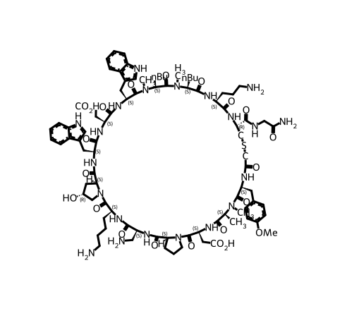 CCCC[C@H]1C(=O)N(C)[C@@H](CCCC)C(=O)N[C@@H](CCCN)C(=O)N[C@H](C(=O)NCC(N)=O)CSCC(=O)N[C@@H](Cc2ccc(OC)cc2)C(=O)N(C)[C@@H](C)C(=O)N[C@@H](CC(=O)O)C(=O)N2CCC[C@H]2C(=O)N[C@@H](CN)C(=O)N[C@@H](CCCCN)C(=O)N2C[C@H](O)C[C@H]2C(=O)N[C@@H](Cc2c[nH]c3ccccc23)C(=O)N[C@@H](CC(=O)O)C(=O)N[C@@H](Cc2c[nH]c3ccccc23)C(=O)N1C